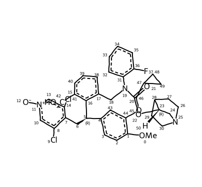 COc1ccc([C@@H](Cc2c(Cl)c[n+]([O-])cc2Cl)c2c(CN(C(=O)O[C@H]3CN4CCC3CC4)c3ccccc3F)cccc2C(=O)O)cc1OCC1CC1